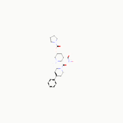 CN1C[C@@H](OC(=O)N2CCCC2)C[C@H](C(=O)NO)[C@H]1C(=O)N1CC=C(c2ccccc2)CC1